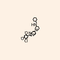 COc1cc(OC)c(-c2cn3ccc(N4CCC[C@H](NCC5CCCCC5)C4)cc3n2)cc1Cl